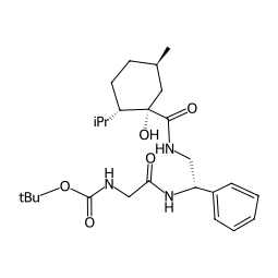 CC(C)[C@@H]1CC[C@@H](C)C[C@@]1(O)C(=O)NC[C@@H](NC(=O)CNC(=O)OC(C)(C)C)c1ccccc1